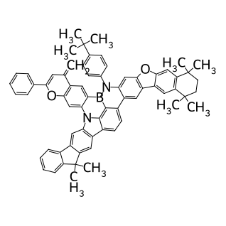 C=C1C=C(c2ccccc2)Oc2cc3c(cc21)B1c2c(ccc4c5cc6c(cc5n-3c24)-c2ccccc2C6(C)C)-c2cc3c(cc2N1c1ccc(C(C)(C)C)cc1)oc1cc2c(cc13)C(C)(C)CCC2(C)C